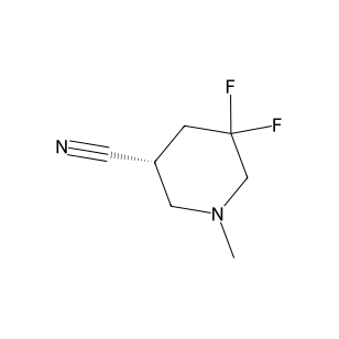 CN1C[C@H](C#N)CC(F)(F)C1